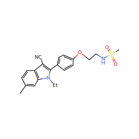 CCn1c(-c2ccc(OCCNS(C)(=O)=O)cc2)c(C#N)c2ccc(C)cc21